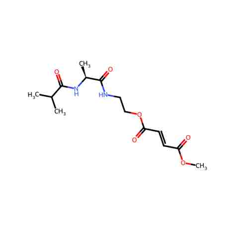 COC(=O)/C=C/C(=O)OCCNC(=O)[C@H](C)NC(=O)C(C)C